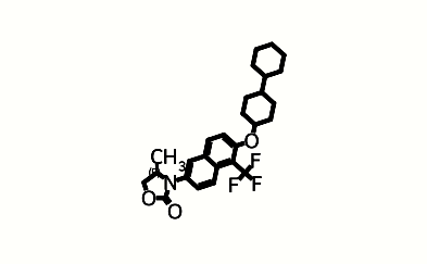 C[C@@H]1COC(=O)N1c1ccc2c(C(F)(F)F)c(OC3CCC(C4CCCCC4)CC3)ccc2c1